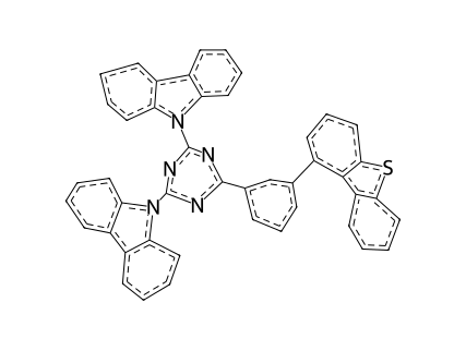 c1cc(-c2nc(-n3c4ccccc4c4ccccc43)nc(-n3c4ccccc4c4ccccc43)n2)cc(-c2cccc3sc4ccccc4c23)c1